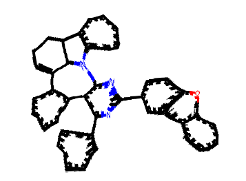 C1=C2c3ccccc3-c3c(-c4ccccc4)nc(-c4ccc5oc6ccccc6c5c4)nc3N3c4ccccc4C(CC1)C23